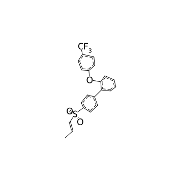 CC=CS(=O)(=O)c1ccc(-c2ccccc2Oc2ccc(C(F)(F)F)cc2)cc1